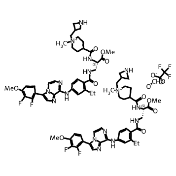 CCc1cc(Nc2nccn3c(-c4ccc(OC)c(F)c4F)cnc23)ccc1C(=O)NC[C@H](NC(=O)C1CC[N+](C)(CC2CNC2)CC1)C(=O)OC.CCc1cc(Nc2nccn3c(-c4ccc(OC)c(F)c4F)cnc23)ccc1C(=O)NC[C@H](NC(=O)C1CC[N+](C)(CC2CNC2)CC1)C(=O)OC.O=C([O-])C(F)(F)F.O=C[O-]